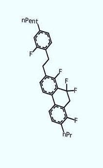 CCCCCc1ccc(CCc2ccc3c(c2F)C(F)(F)Cc2c-3ccc(CCC)c2F)c(F)c1